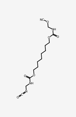 N#COCNC(=O)OCCCCCCCCOC(=O)NCN=C=O